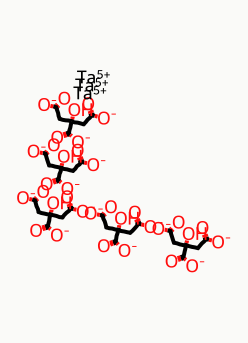 O=C([O-])CC(O)(CC(=O)[O-])C(=O)[O-].O=C([O-])CC(O)(CC(=O)[O-])C(=O)[O-].O=C([O-])CC(O)(CC(=O)[O-])C(=O)[O-].O=C([O-])CC(O)(CC(=O)[O-])C(=O)[O-].O=C([O-])CC(O)(CC(=O)[O-])C(=O)[O-].[Ta+5].[Ta+5].[Ta+5]